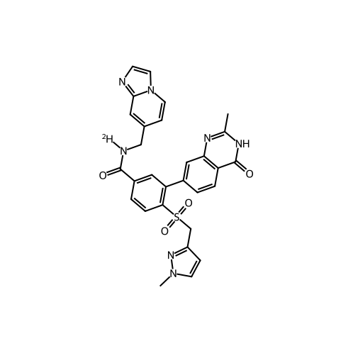 [2H]N(Cc1ccn2ccnc2c1)C(=O)c1ccc(S(=O)(=O)Cc2ccn(C)n2)c(-c2ccc3c(=O)[nH]c(C)nc3c2)c1